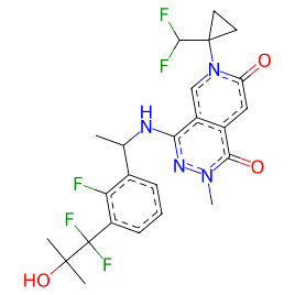 CC(Nc1nn(C)c(=O)c2cc(=O)n(C3(C(F)F)CC3)cc12)c1cccc(C(F)(F)C(C)(C)O)c1F